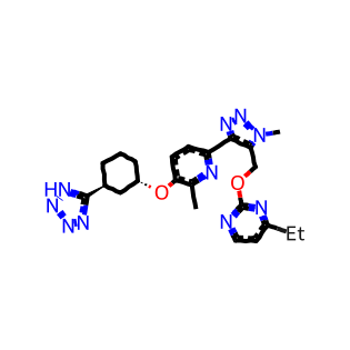 CCc1ccnc(OCc2c(-c3ccc(O[C@H]4CCC[C@H](c5nnn[nH]5)C4)c(C)n3)nnn2C)n1